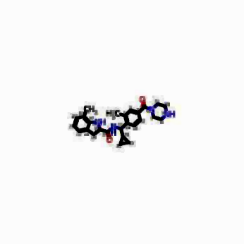 Cc1cc(C(=O)N2CCNCC2)ccc1C(NC(=O)C1Cc2cccc(C)c2N1)C1CC1